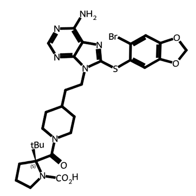 CC(C)(C)[C@]1(C(=O)N2CCC(CCn3c(Sc4cc5c(cc4Br)OCO5)nc4c(N)ncnc43)CC2)CCCN1C(=O)O